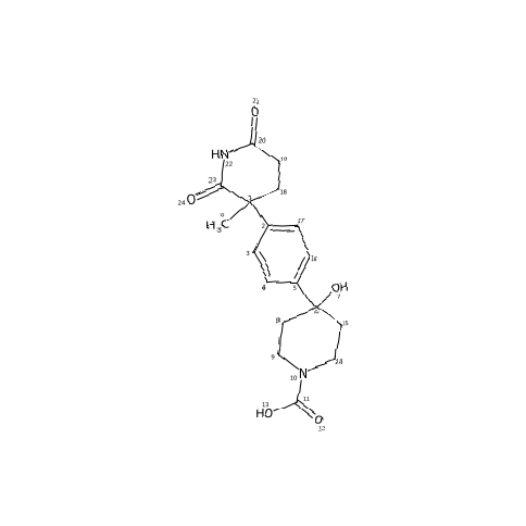 CC1(c2ccc(C3(O)CCN(C(=O)O)CC3)cc2)CCC(=O)NC1=O